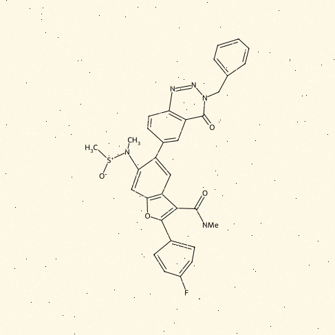 CNC(=O)c1c(-c2ccc(F)cc2)oc2cc(N(C)[S+](C)[O-])c(-c3ccc4nnn(Cc5ccccc5)c(=O)c4c3)cc12